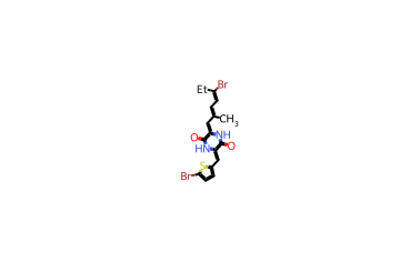 CC\C(Br)=C/C=C(C)/C=c1\[nH]c(=O)/c(=C/c2ccc(Br)s2)[nH]c1=O